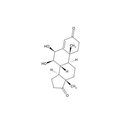 C[C@]12CCC(=O)C=C1[C@H](O)[C@H](O)[C@@H]1[C@@H]2CC[C@]2(C)C(=O)CC[C@@H]12